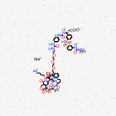 CCCNC(=O)Nc1cccc(S(=O)(=O)Nc2cccc([C@@H](CC(=O)[O-])NC(=O)Nc3ccc(NC(=O)NCCOCCOCCOCCC(=O)N[C@@H](CC(=O)OCCCCN(C)C)C(=O)N4CCC[C@H]4C(=O)N[C@H](C(=O)O[C@]4(CC)C(=O)OCc5c4cc4n(c5=O)Cc5c-4nc4ccccc4c5CC)C(C)C)cc3)c2)c1.[Na+]